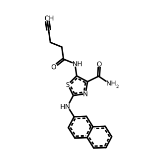 C#CCCC(=O)Nc1sc(Nc2ccc3ccccc3c2)nc1C(N)=O